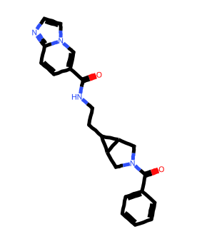 O=C(NCCC1C2CN(C(=O)c3ccccc3)CC12)c1ccc2nccn2c1